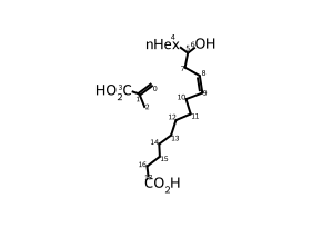 C=C(C)C(=O)O.CCCCCCC(O)C/C=C\CCCCCCCC(=O)O